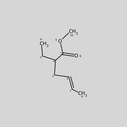 CC=CCC(CC)C(=O)OC